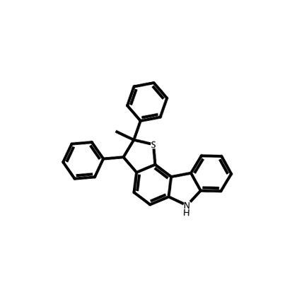 CC1(c2ccccc2)Sc2c(ccc3[nH]c4ccccc4c23)C1c1ccccc1